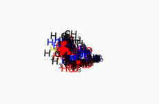 CCC(NC(=O)C(CO)NC(=O)CNC(=O)[C@H](CCC(=O)O)NC(=O)C(NC(=O)[C@H](CO)NC(=O)[C@H](CCCNC(=N)N)NC(=O)C(CS)NC(=O)[C@H](CCC(N)=O)NC(=O)[C@@H](NC(=O)C(NC(=O)CNC(=O)[C@@H](N)CC(C)C)[C@@H](C)CC)C(C)C)C(C)C)C(=O)NCC(=O)NC(Cc1ccccc1)C(=O)NC(Cc1ccc(O)cc1)C(=O)O